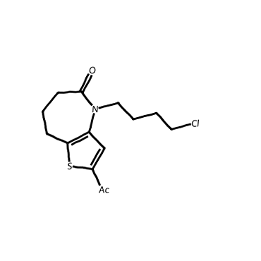 CC(=O)c1cc2c(s1)CCCC(=O)N2CCCCCl